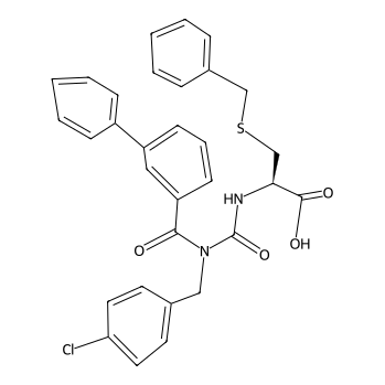 O=C(O)[C@H](CSCc1ccccc1)NC(=O)N(Cc1ccc(Cl)cc1)C(=O)c1cccc(-c2ccccc2)c1